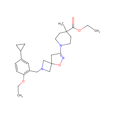 CCOC(=O)C1(C)CCN(C2=NOC3(C2)CN(Cc2cc(C4CC4)ccc2OCC)C3)CC1